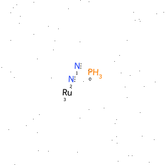 P.[N].[N].[Ru]